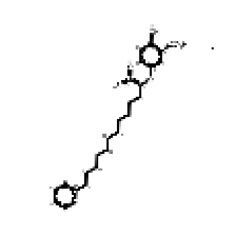 O=C(O)c1cc(OC(CCCCCCCCCCCc2ccccc2)=S(=O)=O)ccc1O